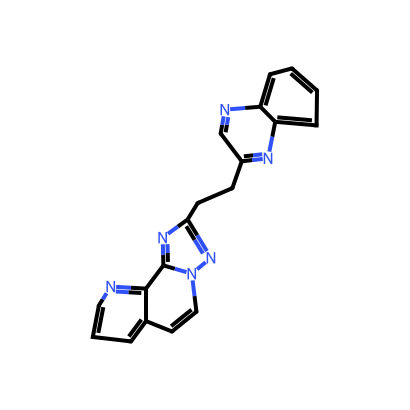 c1cnc2c(c1)ccn1nc(CCc3cnc4ccccc4n3)nc21